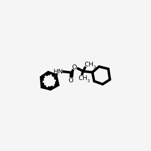 CC(C)(OC(=O)Nc1ccccc1)C1CCCCC1